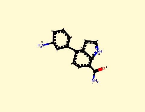 NC(=O)c1ccc(-c2cccc(N)c2)c2cc[nH]c12